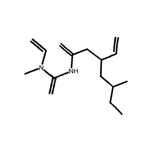 C=CC(CC(=C)NC(=C)N(C)C=C)CC(C)CC